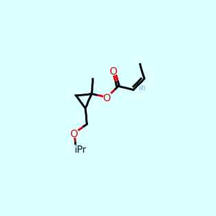 C/C=C\C(=O)OC1(C)CC1COC(C)C